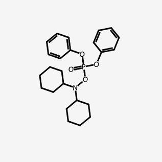 O=P(Oc1ccccc1)(Oc1ccccc1)ON(C1CCCCC1)C1CCCCC1